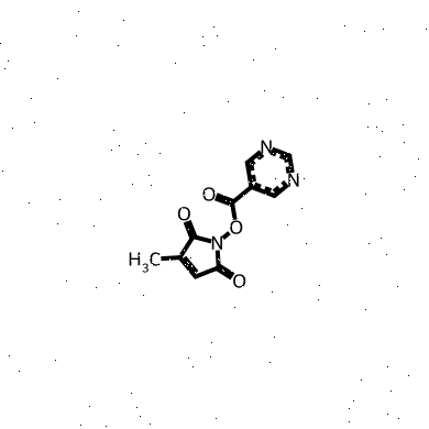 CC1=CC(=O)N(OC(=O)c2cncnc2)C1=O